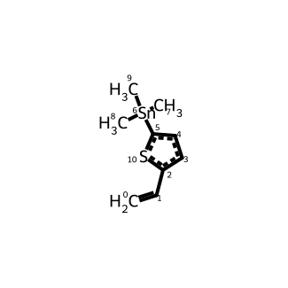 C=Cc1cc[c]([Sn]([CH3])([CH3])[CH3])s1